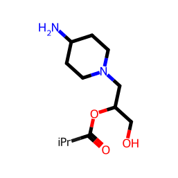 CC(C)C(=O)OC(CO)CN1CCC(N)CC1